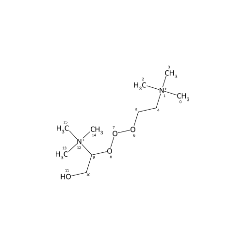 C[N+](C)(C)CCOOOC(CO)[N+](C)(C)C